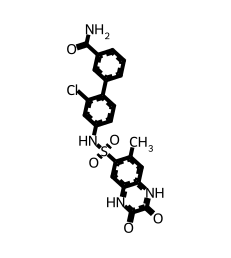 Cc1cc2[nH]c(=O)c(=O)[nH]c2cc1S(=O)(=O)Nc1ccc(-c2cccc(C(N)=O)c2)c(Cl)c1